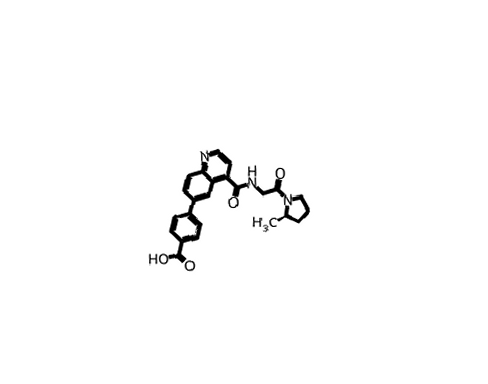 C[C@@H]1CCCN1C(=O)CNC(=O)c1ccnc2ccc(-c3ccc(C(=O)O)cc3)cc12